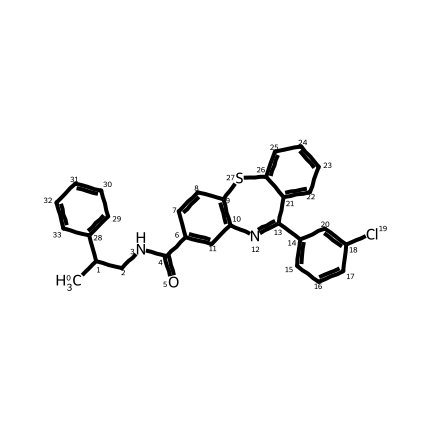 CC(CNC(=O)c1ccc2c(c1)N=C(c1cccc(Cl)c1)c1ccccc1S2)c1ccccc1